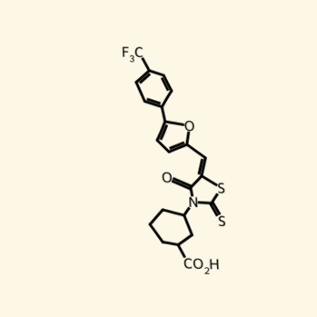 O=C(O)C1CCCC(N2C(=O)/C(=C\c3ccc(-c4ccc(C(F)(F)F)cc4)o3)SC2=S)C1